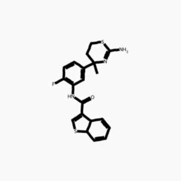 CC1(c2ccc(F)c(NC(=O)C3=CSC4C=CC=CC34)c2)CCSC(N)=N1